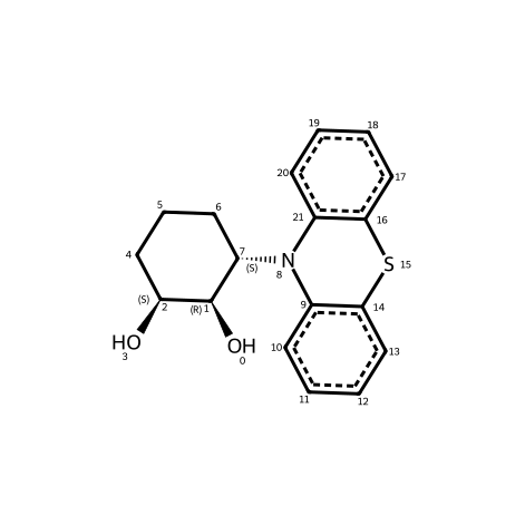 O[C@H]1[C@@H](O)CCC[C@@H]1N1c2ccccc2Sc2ccccc21